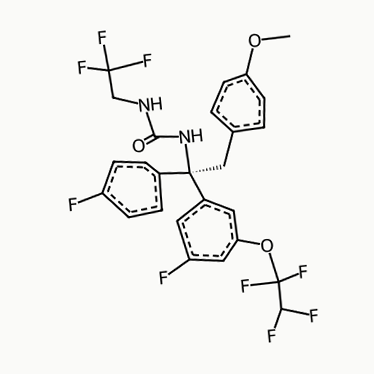 COc1ccc(C[C@@](NC(=O)NCC(F)(F)F)(c2ccc(F)cc2)c2cc(F)cc(OC(F)(F)C(F)F)c2)cc1